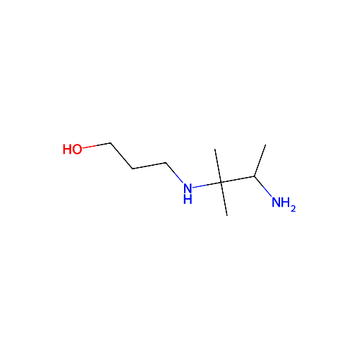 CC(N)C(C)(C)NCCCO